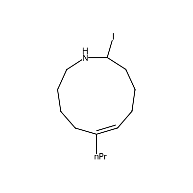 CCCC1=CCCCC(I)NCCCC1